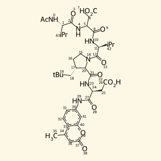 CC(=O)N[C@H](C(=O)NC(CC(=O)O)C(=O)N[C@H](C(=O)N1CC[C@@H](CC(C)(C)C)C1C(=O)N[C@@H](CC(=O)O)C(=O)Nc1ccc2c(C)cc(=O)oc2c1)C(C)C)C(C)C